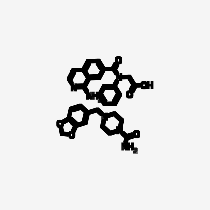 NC(=O)N1CCN(Cc2ccc3c(c2)OCO3)CC1.Nc1nccc2ccc(C(=O)N(CC(=O)O)c3ccccc3)cc12